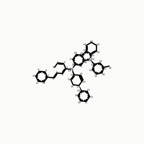 C\C=C/C(=C\C=C\c1ccccc1)N(C1=CC[C@H](c2ccccc2)C#C1)c1ccc2c3c(n(-c4cccc(C)c4)c2c1)=CCCC=3